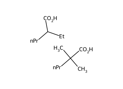 CCCC(C)(C)C(=O)O.CCCC(CC)C(=O)O